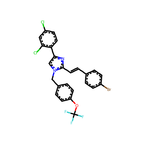 FC(F)(F)Oc1ccc(Cn2cc(-c3ccc(Cl)cc3Cl)nc2C=Cc2ccc(Br)cc2)cc1